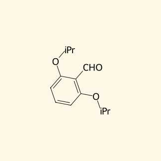 CC(C)Oc1cccc(OC(C)C)c1C=O